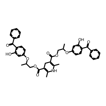 CC1=C(C(=O)OCC(C)Oc2ccc(C(=O)c3ccccc3)c(O)c2)CC(C(=O)OCC(C)Oc2ccc(C(=O)c3ccccc3)c(O)c2)=C(C)N1